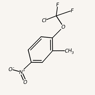 Cc1cc([N+](=O)[O-])ccc1OC(F)(F)Cl